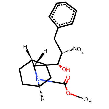 CC(C)(C)OC(=O)N1[C@H]2CC[C@@H](CC2)[C@@H]1[C@H](O)[C@H](Cc1ccccc1)[N+](=O)[O-]